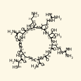 CC(O)C1NC(=O)C(CCCNC(=N)N)NC(=O)C(CCCCN)NC(=O)C(CC(N)=O)NC(=O)CNC(=O)C(NC(=O)C(N)CS)CSSCC(C(N)=O)NC(=O)CNC(=O)C(CCCNC(=N)N)NC1=O